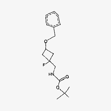 CC(C)(C)OC(=O)NCC1(F)CC(OCc2ccccc2)C1